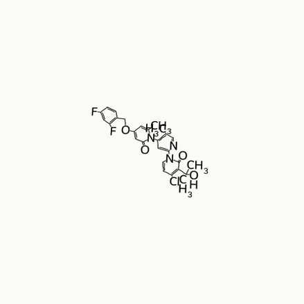 Cc1cnc(-n2ccc(Cl)c(C(C)(C)O)c2=O)cc1-n1c(C)cc(OCc2ccc(F)cc2F)cc1=O